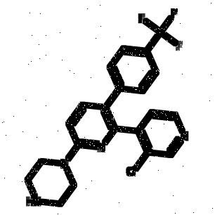 FC(F)(F)c1ccc(-c2ccc(N3CCNCC3)nc2-c2ccncc2Cl)cc1